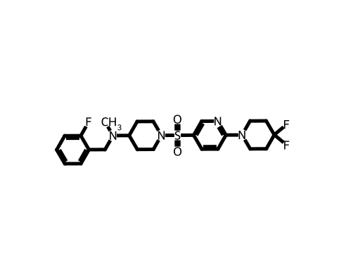 CN(Cc1ccccc1F)C1CCN(S(=O)(=O)c2ccc(N3CCC(F)(F)CC3)nc2)CC1